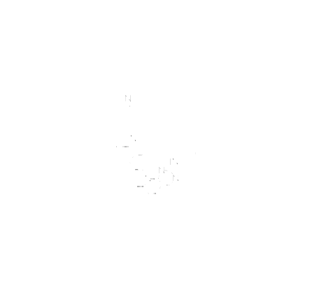 COCCNc1nc(C)c2ccc(=O)n(-c3ccc(C(=O)NCCCON(C)C)cc3)c2n1